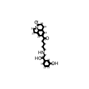 O=C(CCCCNCC(O)c1cccc(O)c1)c1cc2c3c(c1)CCN3C(=O)CC2